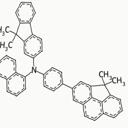 CC1(C)c2ccccc2-c2ccc(N(c3ccc(-c4cc5c6c(ccc7cccc(c76)C5(C)C)c4)cc3)c3cccc4ccccc34)cc21